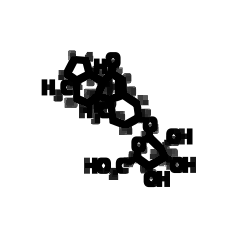 C[C@@]12CCC[C@H]1[C@@H]1C(=O)CC3C[C@H](OC4O[C@H](C(=O)O)[C@@H](O)[C@H](O)[C@H]4O)CC[C@]3(C)[C@H]1CC2